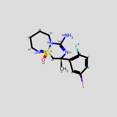 C[C@@]1(c2cc(I)ccc2F)CS2(=O)=NCCCCN2C(N)=N1